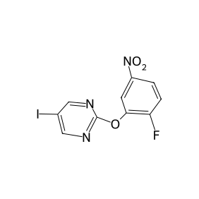 O=[N+]([O-])c1ccc(F)c(Oc2ncc(I)cn2)c1